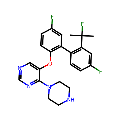 CC(C)(F)c1cc(F)ccc1-c1cc(F)ccc1Oc1cncnc1N1CCNCC1